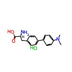 CN(C)c1ccc(-c2ccc(C[C@H](N)C(=O)O)cc2)cc1.Cl